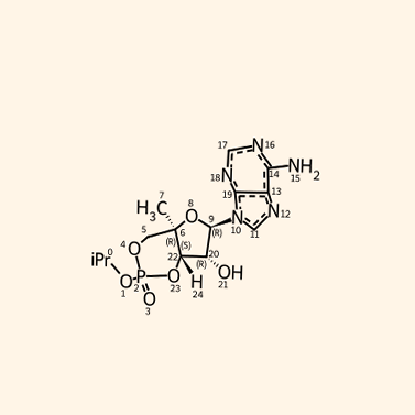 CC(C)OP1(=O)OC[C@@]2(C)O[C@@H](n3cnc4c(N)ncnc43)[C@H](O)[C@@H]2O1